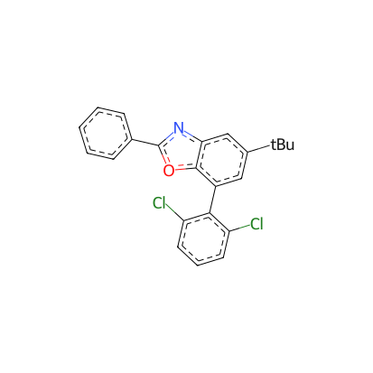 CC(C)(C)c1cc(-c2c(Cl)cccc2Cl)c2oc(-c3ccccc3)nc2c1